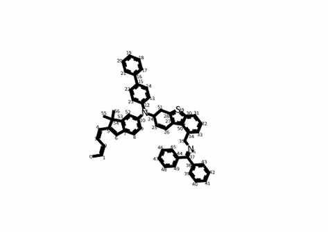 C/C=C\C=C/C1=Cc2ccc(N(c3ccc(-c4ccccc4)cc3)C3C=Cc4c(sc5cccc(CN=C(c6ccccc6)c6ccccc6)c45)C3)cc2C1(C)C